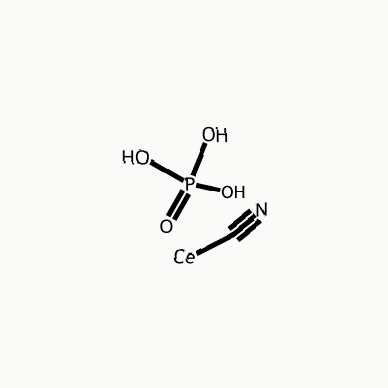 N#[C][Ce].O=P(O)(O)O